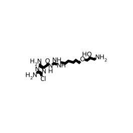 N=C(NCCCCCCOCC(O)CN)NC(=O)c1nc(Cl)c(N)nc1N